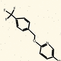 Nc1ccc(OCc2ccc(C(F)(F)F)cc2)nc1